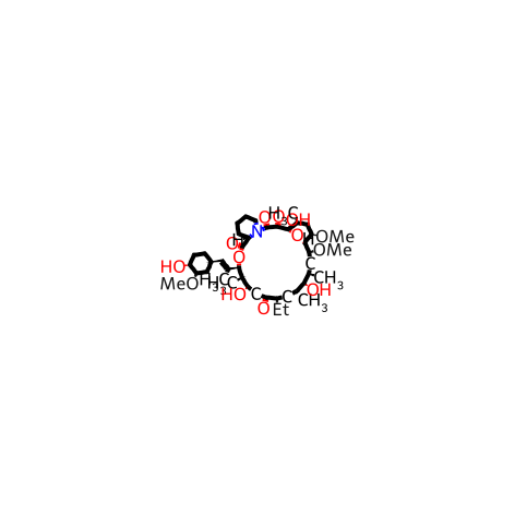 CC[C@@H]1CC(C)[C@@H](O)[C@H](C)C[C@H](OC)[C@H]2O[C@@](O)(C(=O)C(=O)N3CCCC[C@H]3C(=O)O[C@H](/C(C)=C/[C@@H]3CC[C@@H](O)[C@H](OC)C3)[C@H](C)[C@@H](O)CC1=O)[C@H](C)C[C@@H]2OC